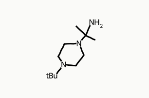 CC(C)(C)N1CCN(C(C)(C)N)CC1